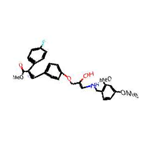 COC(=O)/C(=C/c1ccc(OCC(O)CNCc2ccc(OC)cc2OC)cc1)c1ccc(F)cc1